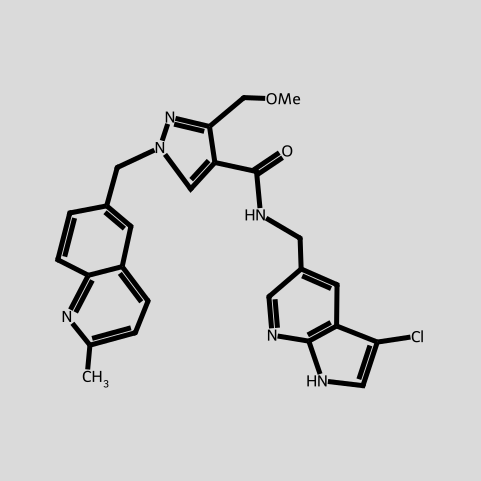 COCc1nn(Cc2ccc3nc(C)ccc3c2)cc1C(=O)NCc1cnc2[nH]cc(Cl)c2c1